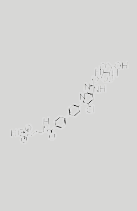 O=C(NCCCS(=O)(=O)O)c1ccc(-c2ccc(-c3nc4nc(O[C@@H]5CO[C@H]6[C@@H]5OC[C@H]6O)[nH]c4cc3Cl)cc2)cc1